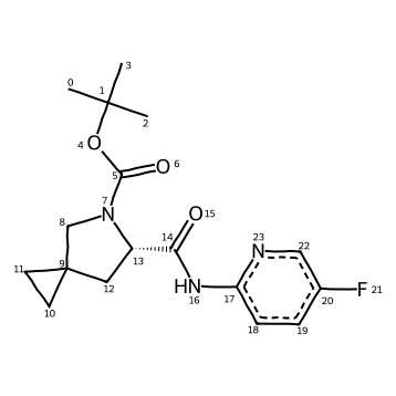 CC(C)(C)OC(=O)N1CC2(CC2)C[C@H]1C(=O)Nc1ccc(F)cn1